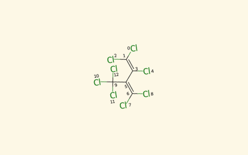 ClC(Cl)=C(Cl)C(=C(Cl)Cl)C(Cl)(Cl)Cl